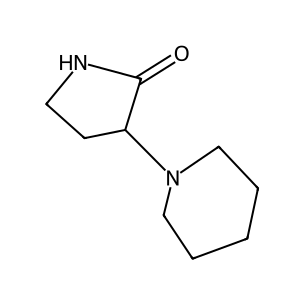 O=C1NCCC1N1CCCCC1